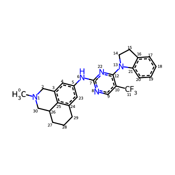 CN1Cc2cc(Nc3ncc(C(F)(F)F)c(N4CCc5ccccc54)n3)cc3c2C(CCC3)C1